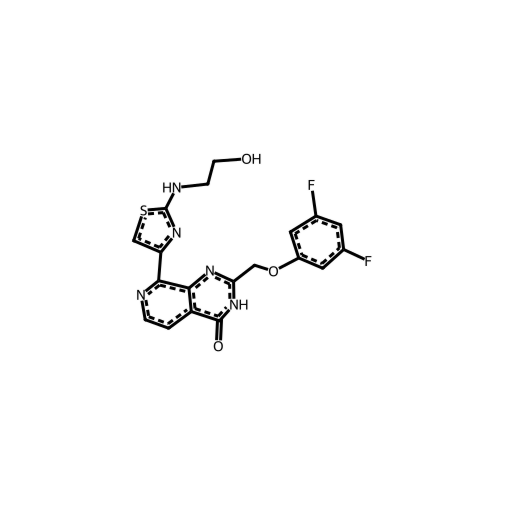 O=c1[nH]c(COc2cc(F)cc(F)c2)nc2c(-c3csc(NCCO)n3)nccc12